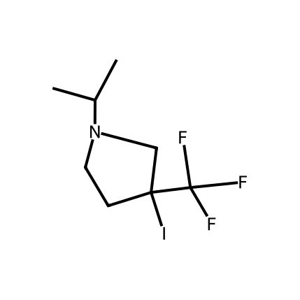 CC(C)N1CCC(I)(C(F)(F)F)C1